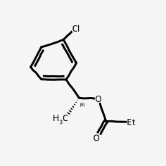 CCC(=O)O[C@H](C)c1cccc(Cl)c1